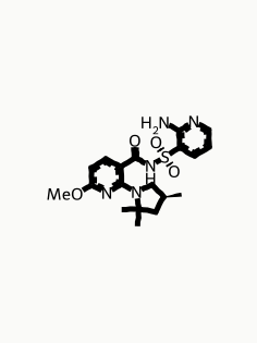 COc1ccc(C(=O)NS(=O)(=O)c2cccnc2N)c(N2C[C@@H](C)CC2(C)C)n1